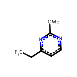 COc1nccc(CC(F)(F)F)n1